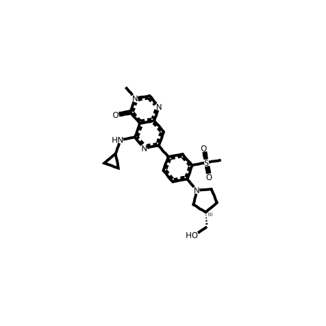 Cn1cnc2cc(-c3ccc(N4CC[C@H](CO)C4)c(S(C)(=O)=O)c3)nc(NC3CC3)c2c1=O